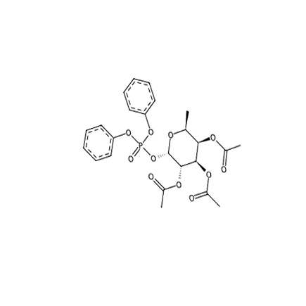 CC(=O)O[C@H]1[C@H](OC(C)=O)[C@H](OP(=O)(Oc2ccccc2)Oc2ccccc2)O[C@@H](C)[C@H]1OC(C)=O